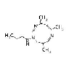 C=C1/C=C(C)\N=C/C(C)CN(BCCC)/C=N\1